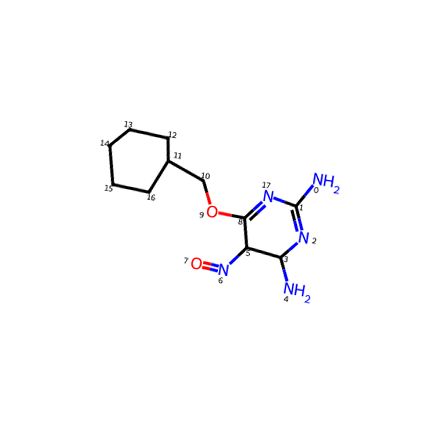 NC1=NC(N)C(N=O)C(OCC2CCCCC2)=N1